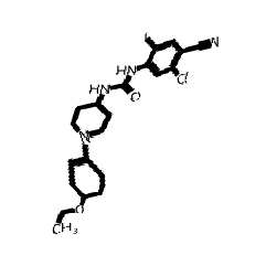 CCOC1CCC(N2CCC(NC(=O)Nc3cc(Cl)c(C#N)cc3I)CC2)CC1